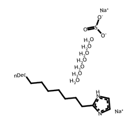 CCCCCCCCCCCCCCCCCc1ncc[nH]1.O.O.O.O.O.O.O.O=S([O-])[O-].[Na+].[Na+]